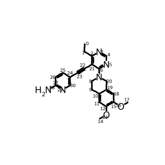 CCc1ncnc(N2CCc3cc(OC)c(OC)cc3C2)c1C#Cc1ccc(N)nc1